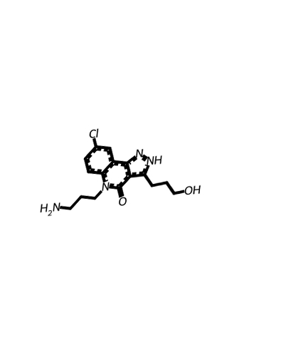 NCCCn1c(=O)c2c(CCCO)[nH]nc2c2cc(Cl)ccc21